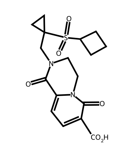 O=C(O)c1ccc2n(c1=O)CCN(CC1(S(=O)(=O)C3CCC3)CC1)C2=O